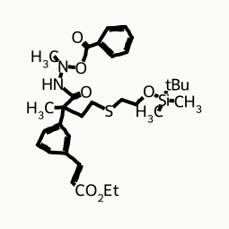 CCOC(=O)/C=C/c1cccc(C(C)(CCSCCO[Si](C)(C)C(C)(C)C)C(=O)NN(C)OC(=O)c2ccccc2)c1